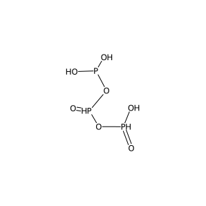 O=[PH](O)O[PH](=O)OP(O)O